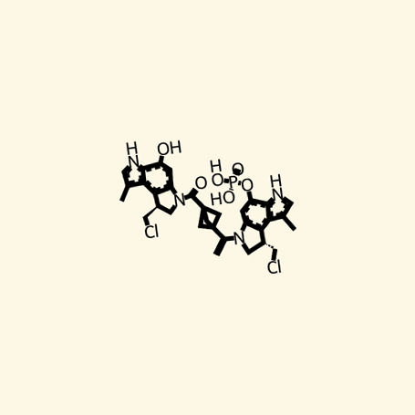 C=C(N1C[C@@H](CCl)c2c1cc(OP(=O)(O)O)c1[nH]cc(C)c21)C12CC(C(=O)N3C[C@@H](CCl)c4c3cc(O)c3[nH]cc(C)c43)(C1)C2